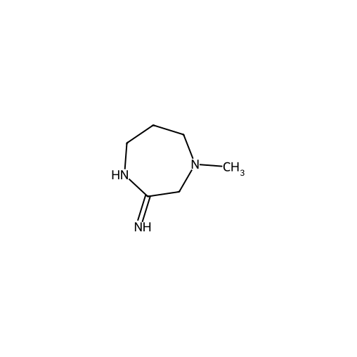 CN1CCCNC(=N)C1